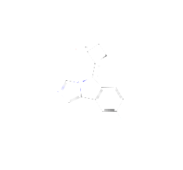 O[C@@H]1CC[C@H]1[C@H]1c2ccc(F)cc2-c2cncn21